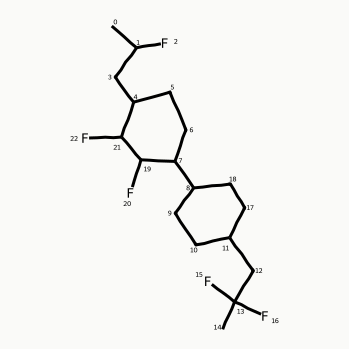 CC(F)CC1CCC(C2CCC(CC(C)(F)F)CC2)C(F)C1F